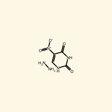 NN.O=c1[nH]cc([N+](=O)[O-])c(=O)[nH]1